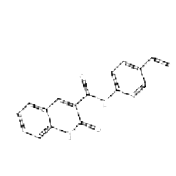 C=Cc1ccc(NC(=O)c2cc3ccccc3[nH]c2=O)cc1